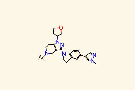 CC(=O)N1CCc2c(c(N3CCc4cc(-c5cnn(C)c5)ccc43)nn2C2CCOC2)C1